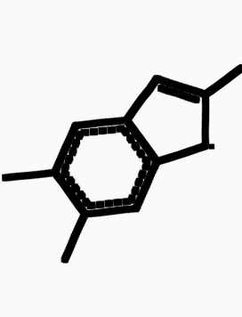 CC1=Cc2cc(C)c(C)cc2[CH]1